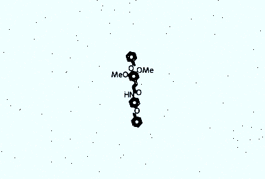 COc1cc(C=CC(=O)Nc2ccc(OCc3ccccc3)cc2)cc(OC)c1OCc1ccccc1